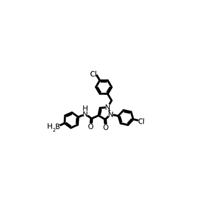 Bc1ccc(NC(=O)c2cn(Cc3ccc(Cl)cc3)n(-c3ccc(Cl)cc3)c2=O)cc1